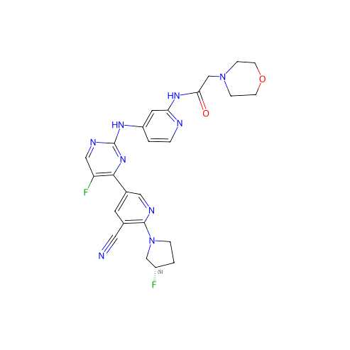 N#Cc1cc(-c2nc(Nc3ccnc(NC(=O)CN4CCOCC4)c3)ncc2F)cnc1N1CC[C@H](F)C1